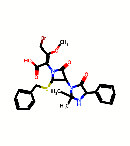 COC(CBr)=C(C(=O)O)N1C(=O)C(N2C(=O)C(c3ccccc3)NC2(C)C)C1SCc1ccccc1